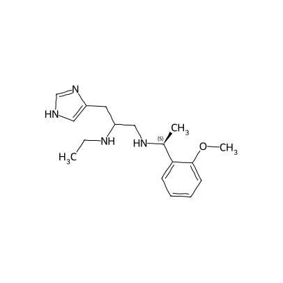 CCNC(CN[C@@H](C)c1ccccc1OC)Cc1c[nH]cn1